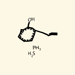 C=CCc1ccccc1O.P.S